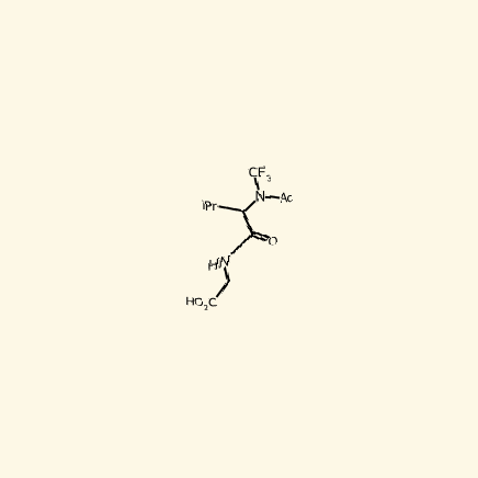 CC(=O)N(C(C(=O)NCC(=O)O)C(C)C)C(F)(F)F